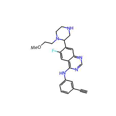 C#Cc1cccc(Nc2ncnc3cc(C4CNCCN4CCOC)c(F)cc23)c1